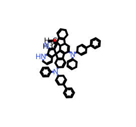 CC1(C)C2=C(CCC=C2)C2C=C(N(C3=CC=CCC3)C3C=CC(c4ccccc4)=CC3)C3=C(C21)C1(C2=C(NCC=C2)c2ncccc21)C1=C3C=CC(N(c2ccccc2)C2C=CC(c3ccccc3)=CC2)C1